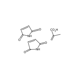 C=C(C)C(=O)O.O=C1C=CC(=O)N1.O=C1C=CC(=O)N1